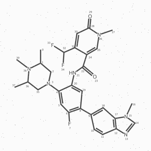 CC1CN(c2cc(F)c(-c3ccc4ncn(C)c4c3)cc2NC(=O)c2cn(C)c(=O)cc2C(F)F)CC(C)N1C